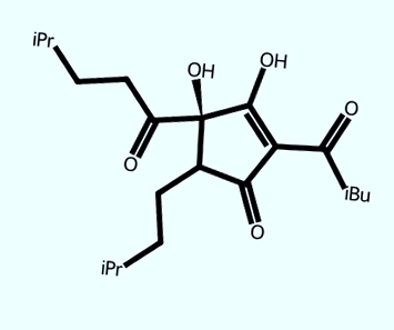 CCC(C)C(=O)C1=C(O)[C@@](O)(C(=O)CCC(C)C)C(CCC(C)C)C1=O